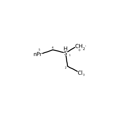 [CH2][SH](CCl)CCCC